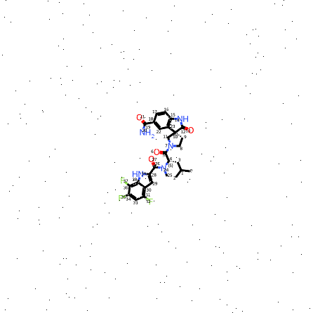 CC(C)C[C@@H](C(=O)N1CC[C@@]2(C1)C(=O)Nc1ccc(C(N)=O)cc12)N(C)C(=O)c1cc2c(F)cc(F)c(F)c2[nH]1